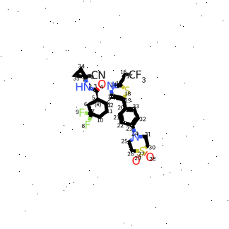 N#CC1(NC(=O)[C@@H]2CC(F)(F)CC[C@H]2c2nc(CC(F)(F)F)sc2-c2ccc(N3CCS(=O)(=O)CC3)cc2)CC1